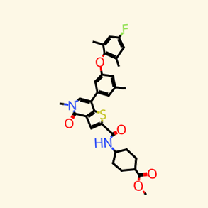 COC(=O)C1CCC(NC(=O)c2cc3c(=O)n(C)cc(-c4cc(C)cc(Oc5c(C)cc(F)cc5C)c4)c3s2)CC1